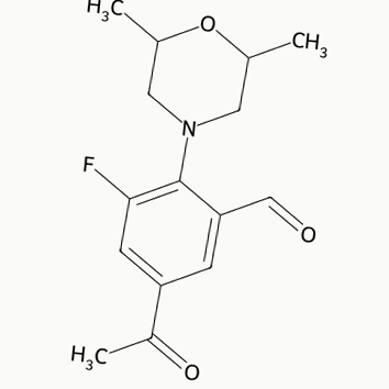 CC(=O)c1cc(F)c(N2CC(C)OC(C)C2)c(C=O)c1